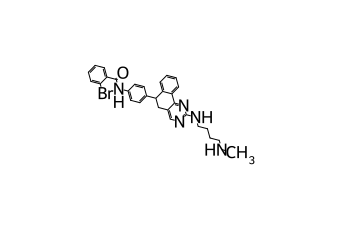 CNCCCCNc1ncc2c(n1)-c1ccccc1C(c1ccc(NC(=O)c3ccccc3Br)cc1)C2